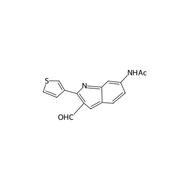 CC(=O)Nc1ccc2cc(C=O)c(-c3ccsc3)nc2c1